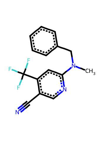 CN(Cc1ccccc1)c1cc(C(F)(F)F)c(C#N)cn1